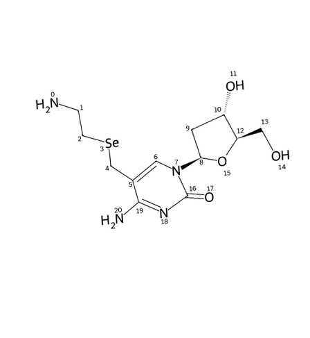 NCC[Se]Cc1cn([C@H]2C[C@H](O)[C@@H](CO)O2)c(=O)nc1N